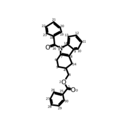 O=C(OCC1CCc2c(c3ccccc3n2C(=O)c2ccccc2)C1)c1ccccc1